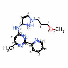 COCCCN1C=CC(Nc2cc(C)nc(-c3ccccn3)n2)N1